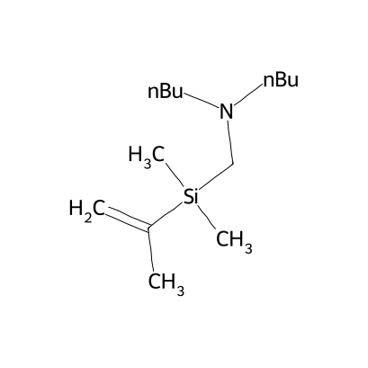 C=C(C)[Si](C)(C)CN(CCCC)CCCC